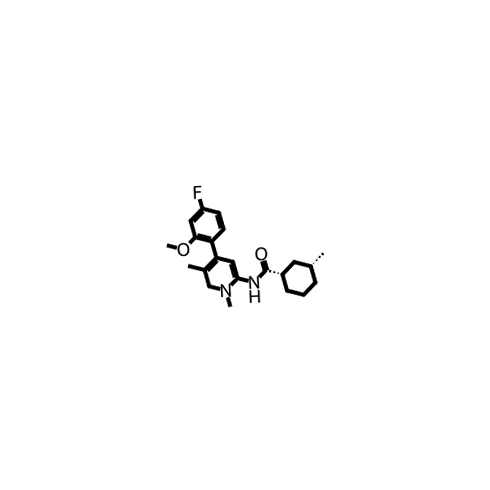 COc1cc(F)ccc1C1=C(C)CN(C)C(NC(=O)[C@H]2CCC[C@@H](C)C2)=C1